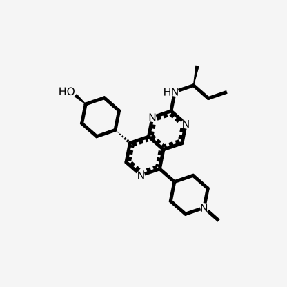 CC[C@H](C)Nc1ncc2c(C3CCN(C)CC3)ncc([C@H]3CC[C@H](O)CC3)c2n1